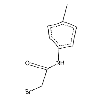 Cc1ccc(NC(=O)CBr)cc1